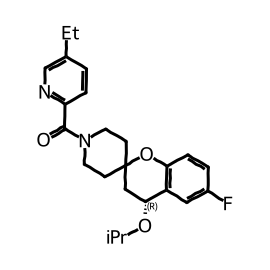 CCc1ccc(C(=O)N2CCC3(CC2)C[C@@H](OC(C)C)c2cc(F)ccc2O3)nc1